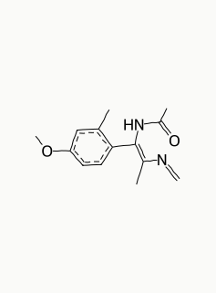 C=N/C(C)=C(\NC(C)=O)c1ccc(OC)cc1C